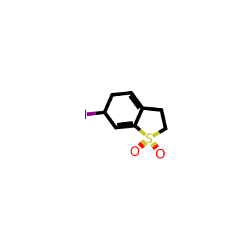 O=S1(=O)CCC2=CCC(I)C=C21